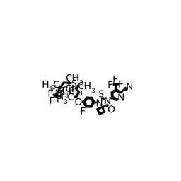 CC(CC(C)(C)SC(C)(C)CC(C)(C)C(F)(F)C(F)(F)F)Oc1ccc(N2C(=S)N(c3cnc(C#N)c(C(F)(F)F)c3)C(=O)C23CCC3)cc1F